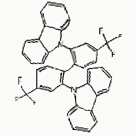 FC(F)(F)c1ccc(-c2ccc(C(F)(F)F)cc2-n2c3ccccc3c3ccccc32)c(-n2c3ccccc3c3ccccc32)c1